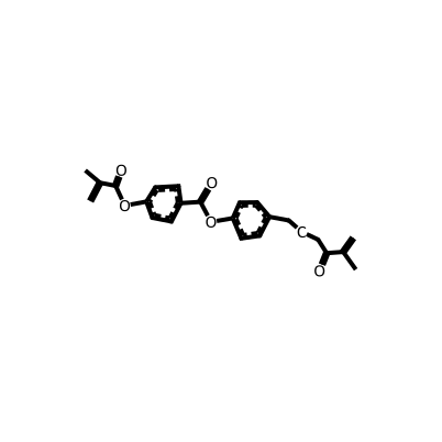 C=C(C)C(=O)CCCc1ccc(OC(=O)c2ccc(OC(=O)C(=C)C)cc2)cc1